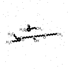 CCCC#Cc1ccc(OC)cc1C=O.CCCCCCCCCOC(=O)CCCCCCCN(CCO)CCCCCCCC(=O)Oc1ccc(CCCCC)c(CCCCC)c1